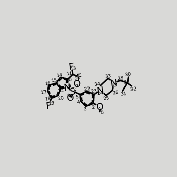 COc1ccc(S(=O)(=O)n2c(C(F)F)cc3ccc(F)cc32)cc1N1CCN(CC(C)(C)C)CC1